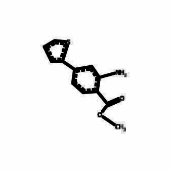 COC(=O)c1ccc(-c2cccs2)cc1N